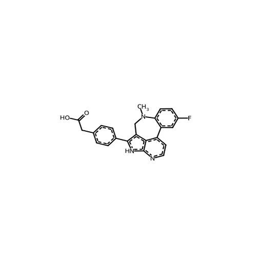 CN1Cc2c(-c3ccc(CC(=O)O)cc3)[nH]c3nccc(c23)-c2cc(F)ccc21